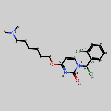 CN(C)CCCCCCOc1ccn(C(Cl)c2ccccc2Cl)c(=O)n1